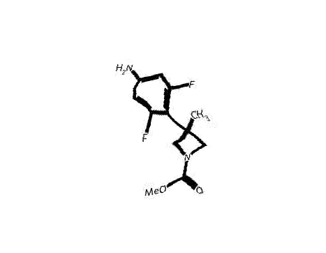 COC(=O)N1CC(C)(c2c(F)cc(N)cc2F)C1